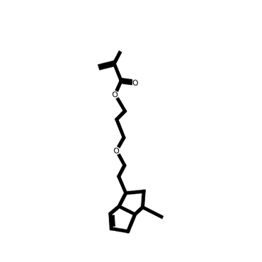 C=C(C)C(=O)OCCCOCCC1CC(C)C2CC=CC12